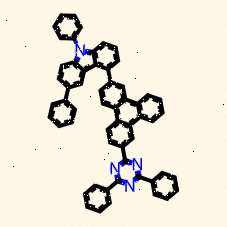 c1ccc(-c2ccc3c(c2)c2c(-c4ccc5c6ccc(-c7nc(-c8ccccc8)nc(-c8ccccc8)n7)cc6c6ccccc6c5c4)cccc2n3-c2ccccc2)cc1